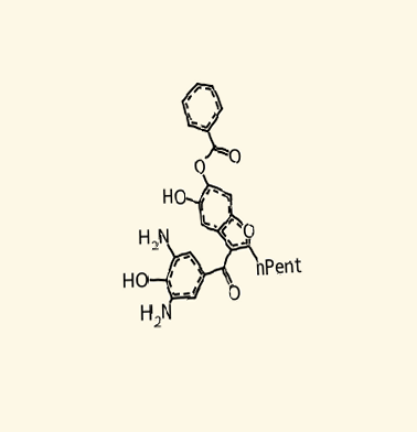 CCCCCc1oc2cc(OC(=O)c3ccccc3)c(O)cc2c1C(=O)c1cc(N)c(O)c(N)c1